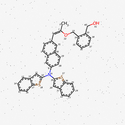 CC(=Cc1ccc2cc(N(c3cc4ccccc4s3)c3cc4ccccc4s3)ccc2c1)OCc1ccccc1CO